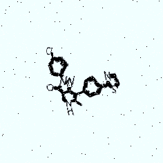 Cc1[nH]cc2c(=O)n(-c3ccc(Cl)cc3)nc-2c1-c1ccc(-c2nccs2)cc1